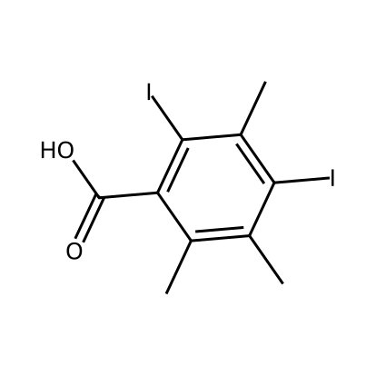 Cc1c(C)c(C(=O)O)c(I)c(C)c1I